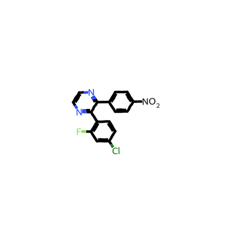 O=[N+]([O-])c1ccc(-c2nccnc2-c2ccc(Cl)cc2F)cc1